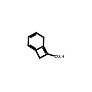 O=C(O)C1=C2CC=CC=C2C1